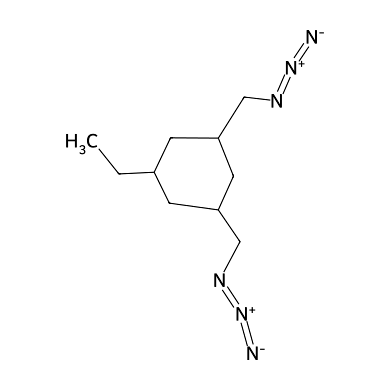 CCC1CC(CN=[N+]=[N-])CC(CN=[N+]=[N-])C1